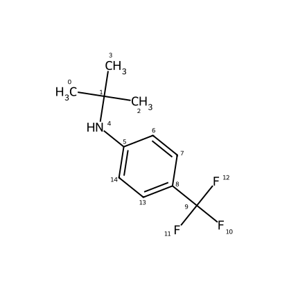 CC(C)(C)Nc1ccc(C(F)(F)F)cc1